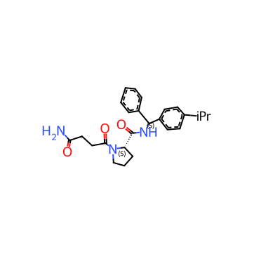 CC(C)c1ccc([C@@H](NC(=O)[C@@H]2CCCN2C(=O)CCC(N)=O)c2ccccc2)cc1